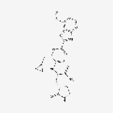 CCCOc1cccc2[nH]c(C(=O)N[C@@H](CC3CC3)C(=O)N[C@@H](C[C@@H]3CCNC3=O)C(N)=O)cc12